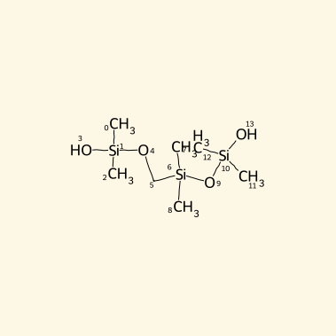 C[Si](C)(O)OC[Si](C)(C)O[Si](C)(C)O